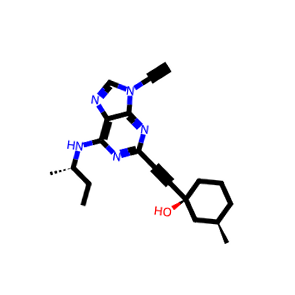 C#Cn1cnc2c(N[C@@H](C)CC)nc(C#C[C@]3(O)CCC[C@@H](C)C3)nc21